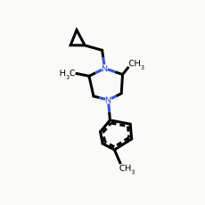 Cc1ccc(N2CC(C)N(CC3CC3)C(C)C2)cc1